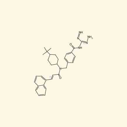 CC(C)(C)C1CCC(N(Cc2ccc(C(=O)N/C(N=N)=N/N)cc2)C(=O)/C=C/c2cccc3ccccc23)CC1